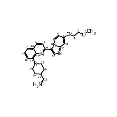 COCCOc1ccn2c(-c3ccc4cccc(N5CCC(CN)CC5)c4n3)cnc2c1